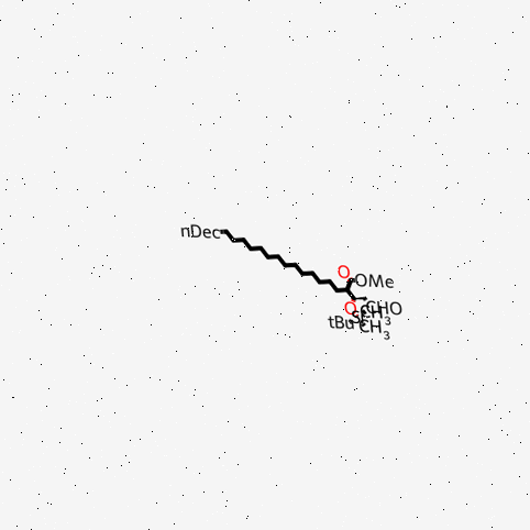 CCCCCCCCCCCCCCCCCCCCCCCCC(C(=O)OC)[C@@H](CC=O)O[Si](C)(C)C(C)(C)C